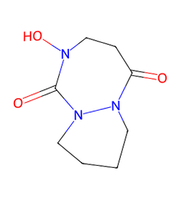 O=C1CCN(O)C(=O)N2CCCCN12